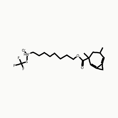 CC1C=C2CC2=CC(C)(C(=O)OCCCCCCCC[NH+]([O-])SC(F)(F)F)C1